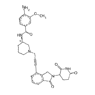 COc1cc(C(=O)N[C@@H]2CCCN(CC#Cc3cccc4c3CN(C3CCC(=O)NC3=O)C4=O)C2)ccc1N